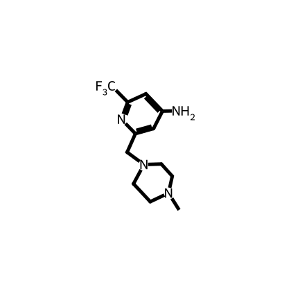 CN1CCN(Cc2cc(N)cc(C(F)(F)F)n2)CC1